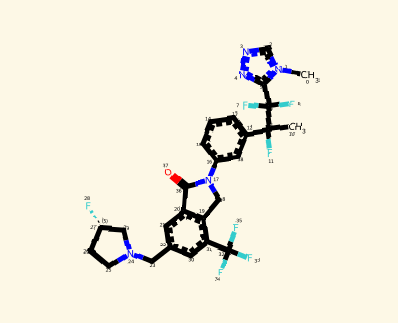 Cn1cnnc1C(F)(F)C(C)(F)c1cccc(N2Cc3c(cc(CN4CC[C@H](F)C4)cc3C(F)(F)F)C2=O)c1